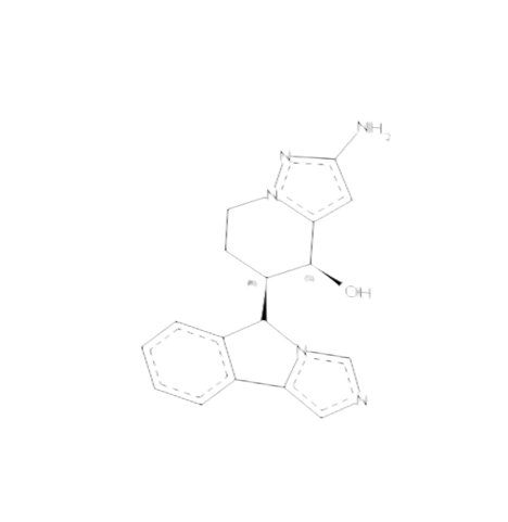 Nc1cc2n(n1)CC[C@H](C1c3ccccc3-c3cncn31)[C@@H]2O